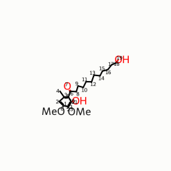 COc1cc(C)c(C(=O)CCCCCCCCCCCO)c(O)c1OC